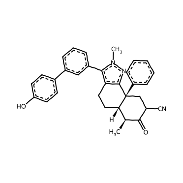 C[C@@H]1C(=O)C(C#N)C[C@@]2(c3ccccc3)c3nn(C)c(-c4cccc(-c5ccc(O)cc5)c4)c3CC[C@@H]12